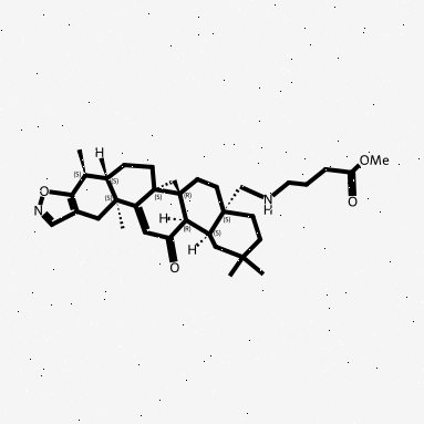 COC(=O)CCCNC[C@]12CCC(C)(C)C[C@H]1[C@H]1C(=O)C=C3[C@@]4(C)Cc5cnoc5[C@@H](C)[C@@H]4CC[C@@]3(C)[C@]1(C)CC2